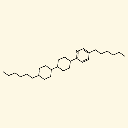 CCCCCCc1ccc(C2CCC(C3CCC(CCCCCC)CC3)CC2)nc1